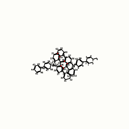 C/C=C(\C=C/CC)c1ccc(N(C2=C(C3=CC=C(c4ccccc4N(c4ccc(C5=CCCC=C5)cc4)C4C=CC(c5ccccc5)=CC4)CC3)CCC=C2)c2ccc(-c3ccccc3)cc2)cc1